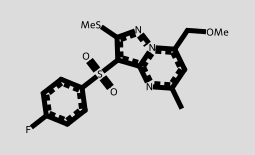 COCc1cc(C)nc2c(S(=O)(=O)c3ccc(F)cc3)c(SC)nn12